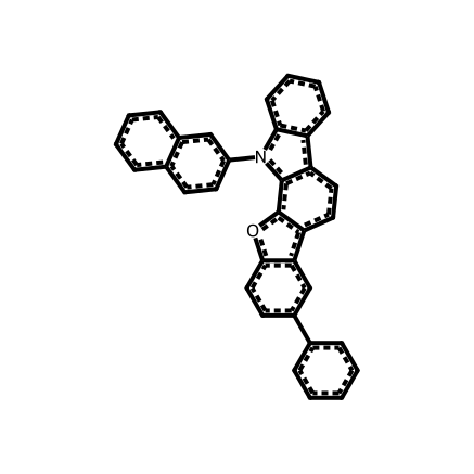 c1ccc(-c2ccc3oc4c(ccc5c6ccccc6n(-c6ccc7ccccc7c6)c54)c3c2)cc1